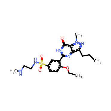 CCCc1nn(C)c2c(=O)[nH]c(-c3cc(S(=O)(=O)NCCNC)ccc3OCC)nc12